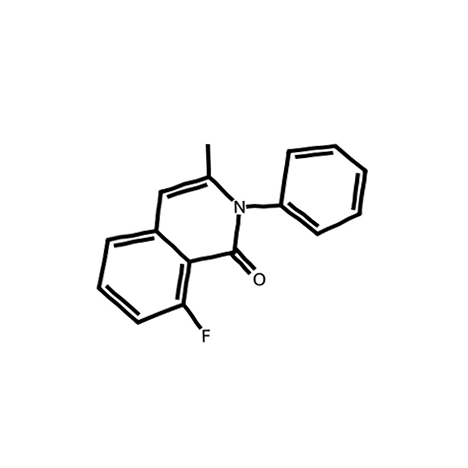 Cc1cc2cccc(F)c2c(=O)n1-c1ccccc1